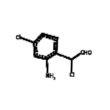 Nc1cc(Cl)ccc1C(Cl)C=O